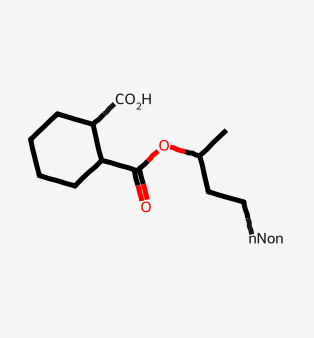 CCCCCCCCCCCC(C)OC(=O)C1CCCCC1C(=O)O